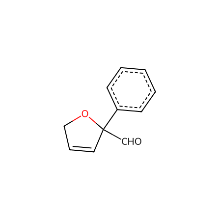 O=CC1(c2ccccc2)C=CCO1